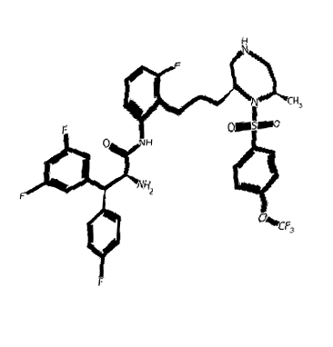 C[C@@H]1CNC[C@H](CCCc2c(F)cccc2NC(=O)[C@@H](N)[C@@H](c2ccc(F)cc2)c2cc(F)cc(F)c2)N1S(=O)(=O)c1ccc(OC(F)(F)F)cc1